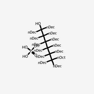 CCCCCCCCCCC(O)(CCCCCCCCCC)C(CCCCCCCCCC)(CCCCCCCCCC)C(CCCCCCCCCC)(CCCCCCCCCC)C(CCCCCCCCCC)(CCCCCCCCCC)C(CCCCCCCCCC)(CCCCCCCCCC)C(CCCCCCCC)(CCCCCCCCCC)CCCCCCCCCC.O=P(O)(O)O